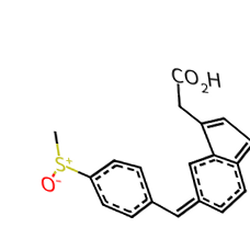 C[S+]([O-])c1ccc(/C=c2/ccc3c(c2)C(CC(=O)O)=CC=3)cc1